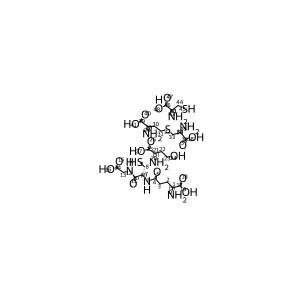 N[C@@H](CCC(=O)N[C@@H](CS)C(=O)NCC(=O)O)C(=O)O.N[C@@H](CCO)C(=O)O.N[C@@H](CCSC[C@H](N)C(=O)O)C(=O)O.N[C@@H](CS)C(=O)O